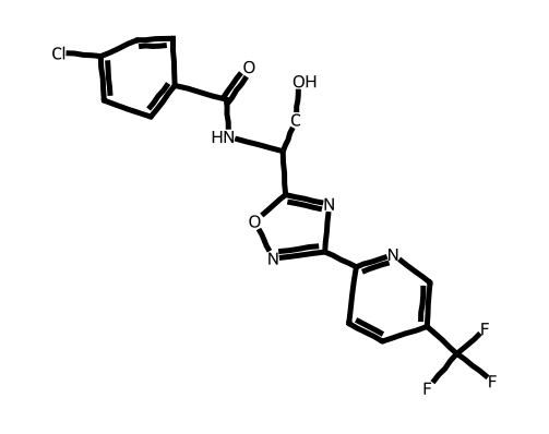 O=C(NC(CO)c1nc(-c2ccc(C(F)(F)F)cn2)no1)c1ccc(Cl)cc1